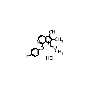 COCn1c(C)c(C)c2ccnc(Oc3ccc(F)cc3)c21.Cl